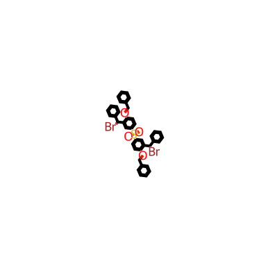 O=S(=O)(c1ccc(OCc2ccccc2)c(C(Br)c2ccccc2)c1)c1ccc(OCc2ccccc2)c(C(Br)c2ccccc2)c1